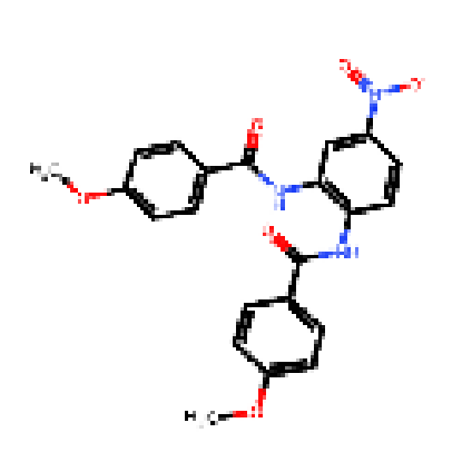 COc1ccc(C(=O)Nc2ccc([N+](=O)[O-])cc2NC(=O)c2ccc(OC)cc2)cc1